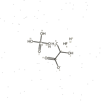 CC(O)C(=O)[O-].F.O=P(O)(O)O.[H+]